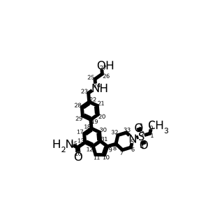 CCS(=O)(=O)N1CCC(C2=CCc3c(C(N)=O)cc(-c4ccc(CNCCO)cc4)cc32)CC1